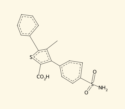 Cc1c(-c2ccccc2)sc(C(=O)O)c1-c1ccc(S(N)(=O)=O)cc1